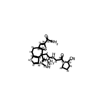 C[C@@H](CC1(c2nn[nH]n2)c2ccsc2CCc2cc(C(N)=O)sc21)NCC(=O)N1CCCC1C#N